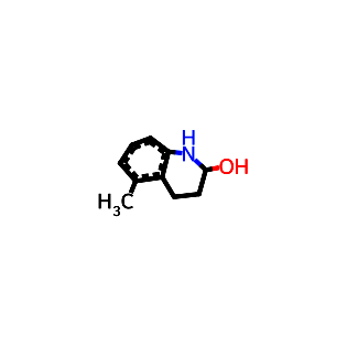 Cc1cccc2c1CCC(O)N2